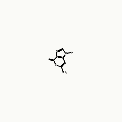 CC(C)n1cnc2c(=S)oc(N)nc21